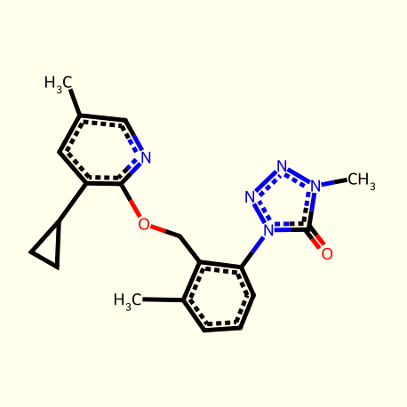 Cc1cnc(OCc2c(C)cccc2-n2nnn(C)c2=O)c(C2CC2)c1